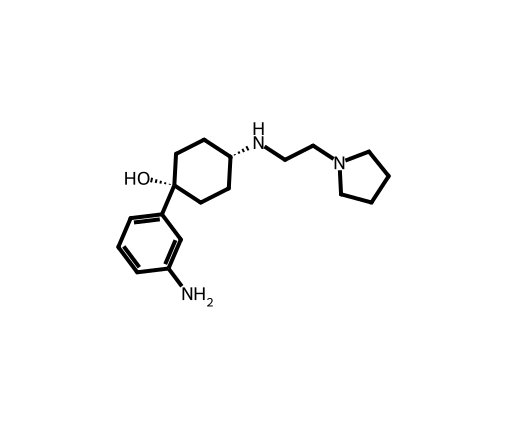 Nc1cccc([C@]2(O)CC[C@@H](NCCN3CCCC3)CC2)c1